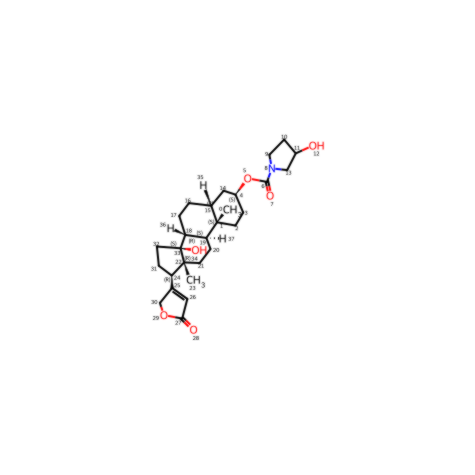 C[C@]12CC[C@H](OC(=O)N3CCC(O)C3)C[C@H]1CC[C@@H]1[C@@H]2CC[C@]2(C)[C@@H](C3=CC(=O)OC3)CC[C@]12O